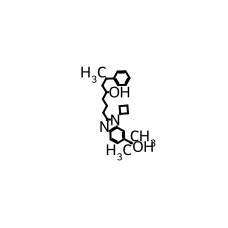 C[C@@H](CC(O)CCCc1nc2ccc(C(C)(C)O)cc2n1C1CCC1)c1ccccc1